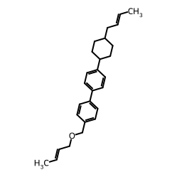 CC=CCOCc1ccc(-c2ccc(C3CCC(C/C=C/C)CC3)cc2)cc1